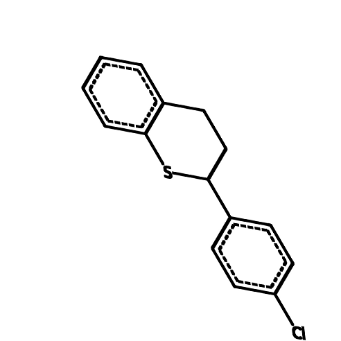 Clc1ccc(C2CCc3ccccc3S2)cc1